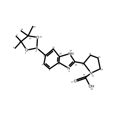 CC1(C)OB(c2ccc3nc(C4CCCN4C(=O)O)[nH]c3c2)OC1(C)C